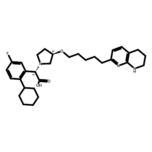 O=C(O)[C@H](c1cc(F)ccc1C1CCCCC1)N1CC[C@@H](OCCCCCc2ccc3c(n2)NCCC3)C1